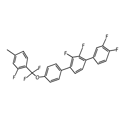 Cc1ccc(C(F)(F)Oc2ccc(-c3ccc(-c4ccc(F)c(F)c4)c(F)c3F)cc2)c(F)c1